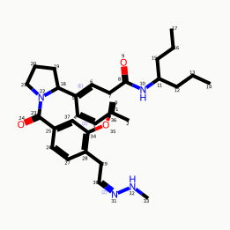 C=C(C)/C=C\C(=C/CC(=O)NC(CCC)CCC)C1CCCN1C(=O)c1ccc(C/C=N\NC)c(OC)c1